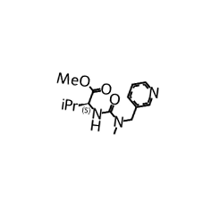 COC(=O)[C@@H](NC(=O)N(C)Cc1cccnc1)C(C)C